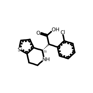 O=C(O)C(c1ccccc1Cl)[C@@H]1NCCc2sccc21